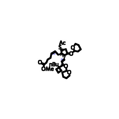 CCCCC1([C@@H](/C=C/[C@@H]2[C@@H](C/C=C\CCCC(=O)OC)[C@@H](SC(C)=O)C[C@H]2OC2CCCCO2)OC2CCCCO2)CCC1